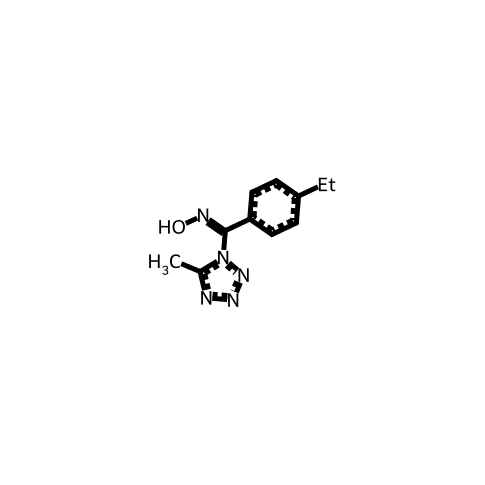 CCc1ccc(C(=NO)n2nnnc2C)cc1